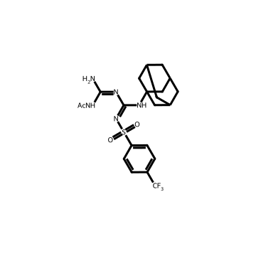 CC(=O)N/C(N)=N\C(=N\S(=O)(=O)c1ccc(C(F)(F)F)cc1)NC12CC3CC(CC(C3)C1)C2